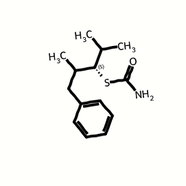 CC(C)[C@H](SC(N)=O)C(C)Cc1ccccc1